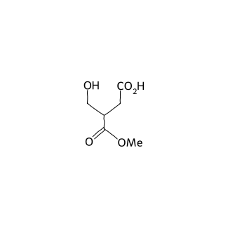 COC(=O)C(CO)CC(=O)O